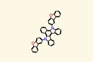 c1ccc2c(c1)oc1ccc(-n3c4ccccc4c4c5c6ccccc6n(-c6ccc7oc8ccccc8c7c6)c5c5ccccc5c43)cc12